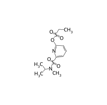 CCS(=O)(=O)Oc1cccc(S(=O)(=O)N(C)C(C)C)n1